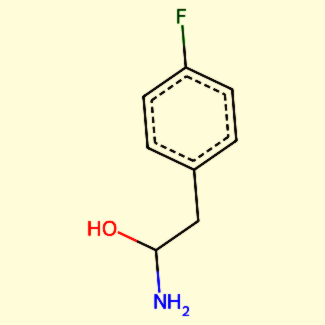 NC(O)Cc1ccc(F)cc1